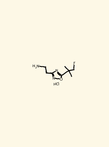 CC(C)(CF)c1nc(CCN)no1.Cl